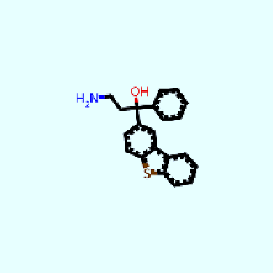 NCCC(O)(c1ccccc1)c1ccc2sc3ccccc3c2c1